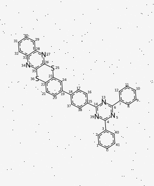 c1ccc(-c2nc(-c3ccccc3)nc(-c3ccc(-c4ccc5c(c4)Sc4nc6ccccc6nc4S5)cc3)n2)cc1